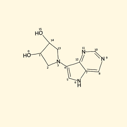 OC1CN(c2c[nH]c3cncnc23)CC1O